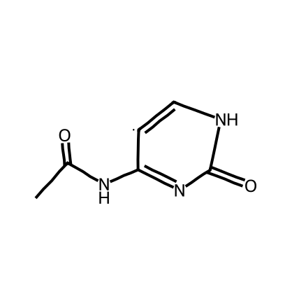 CC(=O)Nc1[c]c[nH]c(=O)n1